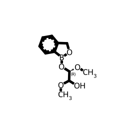 COC(O)[C@@H](OC)OB1OCc2ccccc21